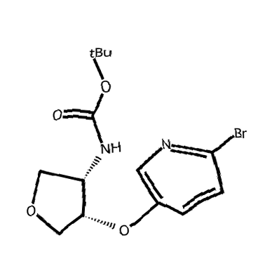 CC(C)(C)OC(=O)N[C@H]1COC[C@H]1Oc1ccc(Br)nc1